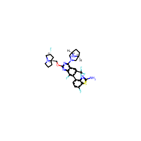 Nc1nc2c(-c3c(C(F)(F)F)cc4c(N5C[C@H]6CC[C@@H](C5)N6)nc(OC[C@@]56CCCN5C[C@H](F)C6)nc4c3F)ccc(F)c2s1